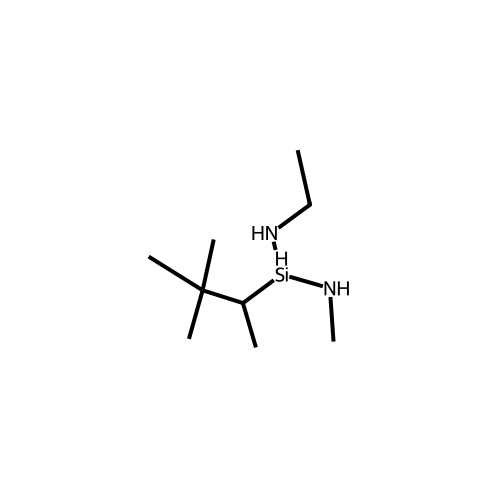 CCN[SiH](NC)C(C)C(C)(C)C